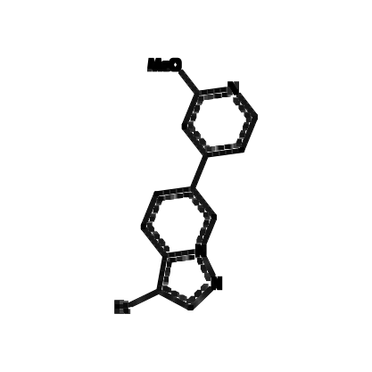 CCc1cnn2cc(-c3ccnc(OC)c3)ccc12